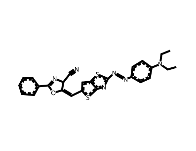 CCN(CC)c1ccc(/N=N/c2nc3sc(/C=C4/OC(c5ccccc5)=NC4C#N)cc3s2)cc1